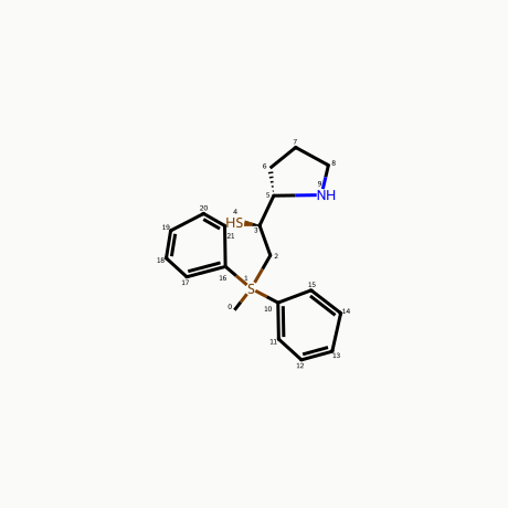 CS(C[C@@H](S)[C@@H]1CCCN1)(c1ccccc1)c1ccccc1